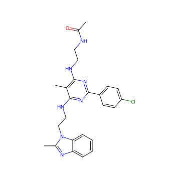 CC(=O)NCCNc1nc(-c2ccc(Cl)cc2)nc(NCCn2c(C)nc3ccccc32)c1C